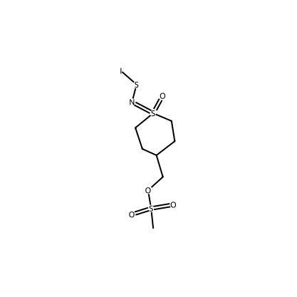 CS(=O)(=O)OCC1CCS(=O)(=NSI)CC1